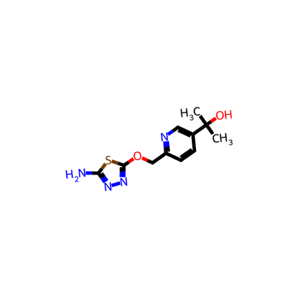 CC(C)(O)c1ccc(COc2nnc(N)s2)nc1